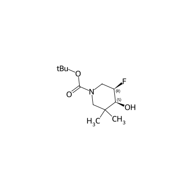 CC(C)(C)OC(=O)N1C[C@@H](F)[C@@H](O)C(C)(C)C1